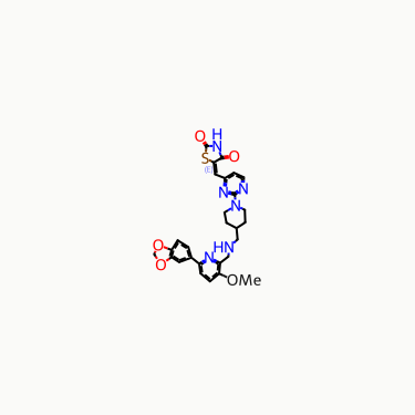 COc1ccc(-c2ccc3c(c2)OCO3)nc1CNCC1CCN(c2nccc(/C=C3/SC(=O)NC3=O)n2)CC1